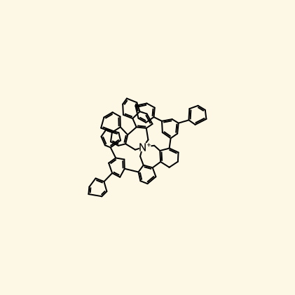 C1=C(c2cc(-c3ccccc3)cc(-c3ccccc3)c2)C2=C(CC1)c1cccc(-c3cc(-c4ccccc4)cc(-c4ccccc4)c3)c1C[N+]1(C2)Cc2ccc3ccccc3c2-c2c(ccc3ccccc23)C1